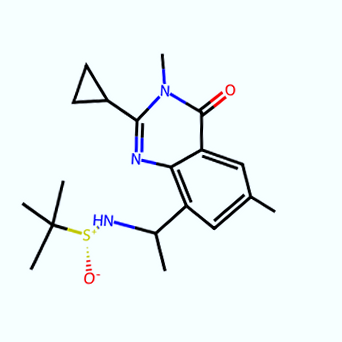 Cc1cc(C(C)N[S@+]([O-])C(C)(C)C)c2nc(C3CC3)n(C)c(=O)c2c1